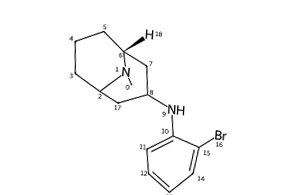 CN1C2CCC[C@@H]1CC(Nc1ccccc1Br)C2